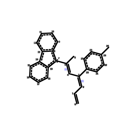 C=C/C=C(\C=C(/C)n1c2ccccc2c2ccccc21)c1ccc(C)cc1